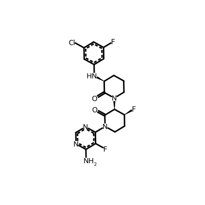 Nc1ncnc(N2CC[C@H](F)[C@H](N3CCC[C@H](Nc4cc(F)cc(Cl)c4)C3=O)C2=O)c1F